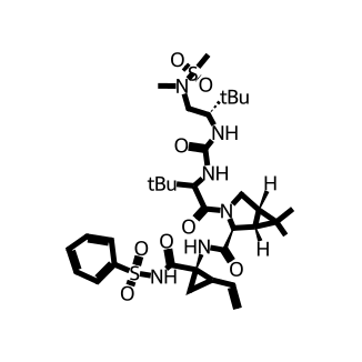 C=CC1C[C@]1(NC(=O)[C@@H]1[C@@H]2[C@H](CN1C(=O)C(NC(=O)N[C@H](CN(C)S(C)(=O)=O)C(C)(C)C)C(C)(C)C)C2(C)C)C(=O)NS(=O)(=O)c1ccccc1